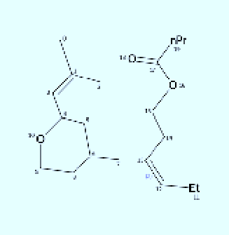 CC(C)=CC1CC(C)CCO1.CC/C=C\CCOC(=O)CCC